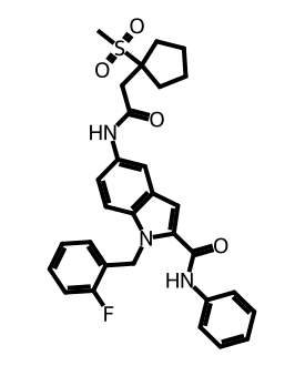 CS(=O)(=O)C1(CC(=O)Nc2ccc3c(c2)cc(C(=O)Nc2ccccc2)n3Cc2ccccc2F)CCCC1